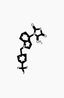 C=C1C(=O)SC(=O)N1c1cccc2c1ccn2Cc1ccc(C(F)(F)F)cc1